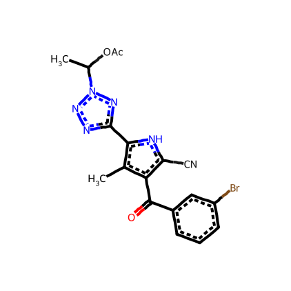 CC(=O)OC(C)n1nnc(-c2[nH]c(C#N)c(C(=O)c3cccc(Br)c3)c2C)n1